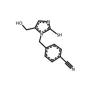 N#Cc1ccc(Cn2c(CO)cnc2S)cc1